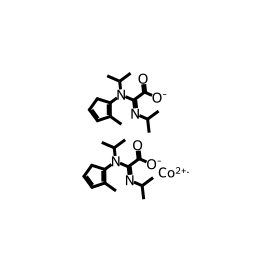 CC1=C(N(C(=NC(C)C)C(=O)[O-])C(C)C)CC=C1.CC1=C(N(C(=NC(C)C)C(=O)[O-])C(C)C)CC=C1.[Co+2]